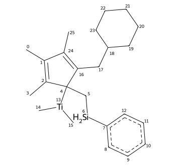 CC1=C(C)[C](C[SiH2]c2ccccc2)([Ti]([CH3])[CH3])C(CC2CCCCC2)=C1C